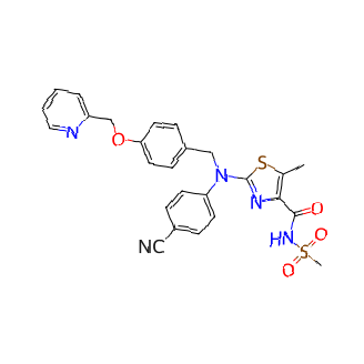 Cc1sc(N(Cc2ccc(OCc3ccccn3)cc2)c2ccc(C#N)cc2)nc1C(=O)NS(C)(=O)=O